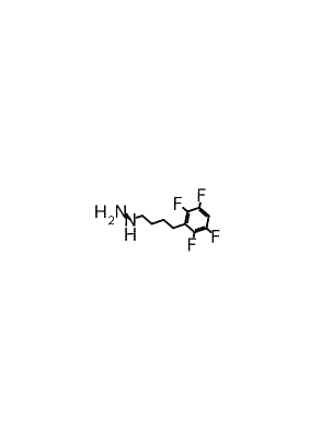 NNCCCCc1c(F)c(F)cc(F)c1F